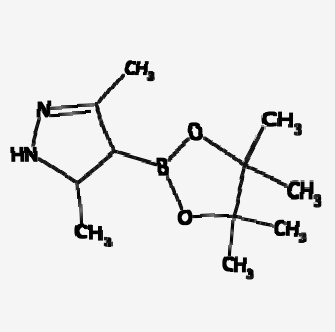 CC1=NNC(C)C1B1OC(C)(C)C(C)(C)O1